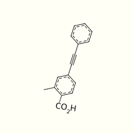 Cc1cc(C#Cc2ccccc2)ccc1C(=O)O